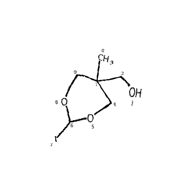 CC1(CO)COC(I)OC1